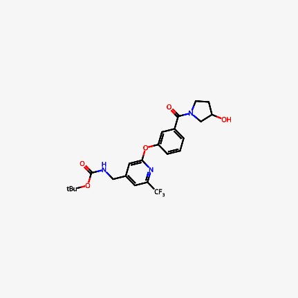 CC(C)(C)OC(=O)NCc1cc(Oc2cccc(C(=O)N3CCC(O)C3)c2)nc(C(F)(F)F)c1